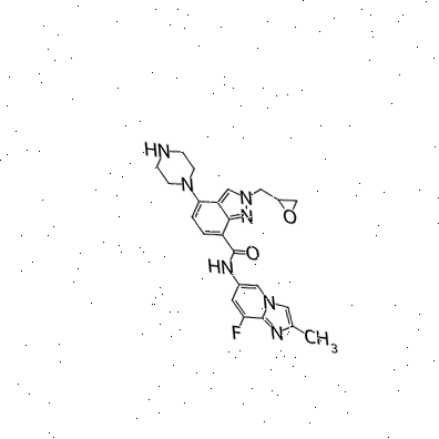 Cc1cn2cc(NC(=O)c3ccc(N4CCNCC4)c4cn(CC5CO5)nc34)cc(F)c2n1